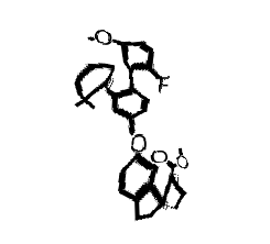 COC(=O)[C@H]1CC[C@@]12CCc1ccc(OCc3ccc(-c4cc(OC)ccc4F)c([C@@H]4CCCC4(C)C)c3)cc12